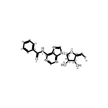 O=C(Nc1ncnc2c1ncn2[C@@H]1OC(=CF)[C@@H](O)[C@H]1O)c1ccccc1